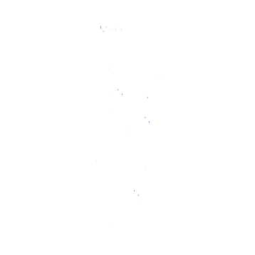 COc1ccc2nc(-c3ccc(F)nc3)cn2c1